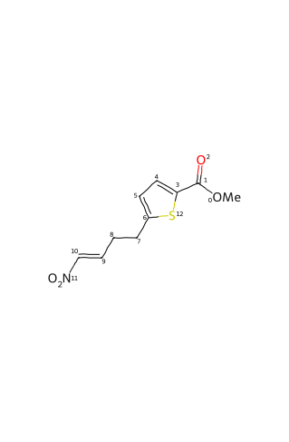 COC(=O)c1ccc(CCC=C[N+](=O)[O-])s1